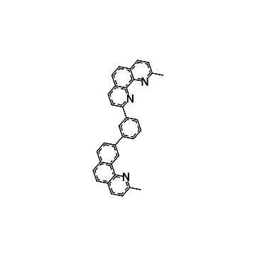 Cc1ccc2ccc3ccc(-c4cccc(-c5ccc6ccc7ccc(C)nc7c6n5)c4)cc3c2n1